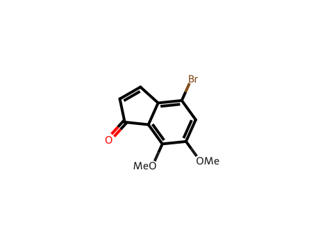 COc1cc(Br)c2c(c1OC)C(=O)C=C2